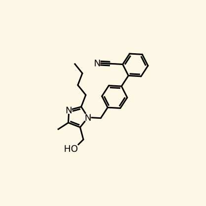 CCCCc1nc(C)c(CO)n1Cc1ccc(-c2ccccc2C#N)cc1